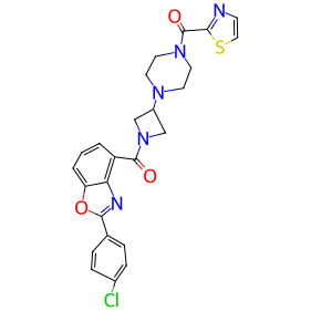 O=C(c1nccs1)N1CCN(C2CN(C(=O)c3cccc4oc(-c5ccc(Cl)cc5)nc34)C2)CC1